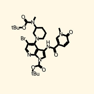 CN(C(=O)OC(C)(C)C)C1CCCN(c2c(Br)cnc3c2c(NC(=O)c2ccc(=O)n(C)c2)cn3C(=O)OC(C)(C)C)C1